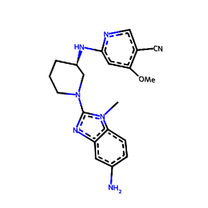 COc1cc(N[C@@H]2CCCN(c3nc4cc(N)ccc4n3C)C2)ncc1C#N